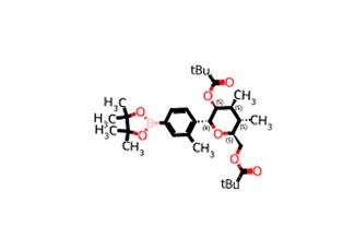 Cc1cc(B2OC(C)(C)C(C)(C)O2)ccc1[C@H]1O[C@H](COC(=O)C(C)(C)C)[C@@H](C)[C@H](C)[C@@H]1OC(=O)C(C)(C)C